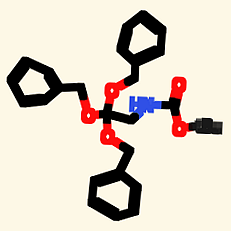 CC(C)(C)OC(=O)NCC(OCc1ccccc1)(OCc1ccccc1)OCc1ccccc1